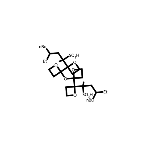 CCCCC(CC)CC(C)(C1(C2(OC3(C4(C(C)(CC(CC)CCCC)S(=O)(=O)O)CCO4)CCO3)CCO2)CCO1)S(=O)(=O)O